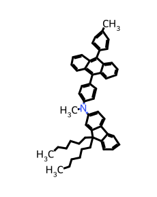 CCCCCCC1(CCCCCC)c2ccccc2-c2ccc(N(C)c3ccc(-c4c5ccccc5c(-c5ccc(C)cc5)c5ccccc45)cc3)cc21